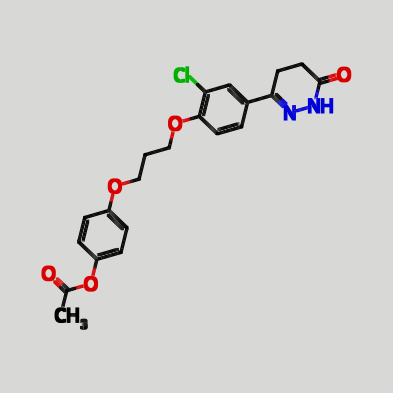 CC(=O)Oc1ccc(OCCCOc2ccc(C3=NNC(=O)CC3)cc2Cl)cc1